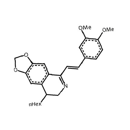 CCCCCCC1CN=C(C=Cc2ccc(OC)c(OC)c2)c2cc3c(cc21)OCO3